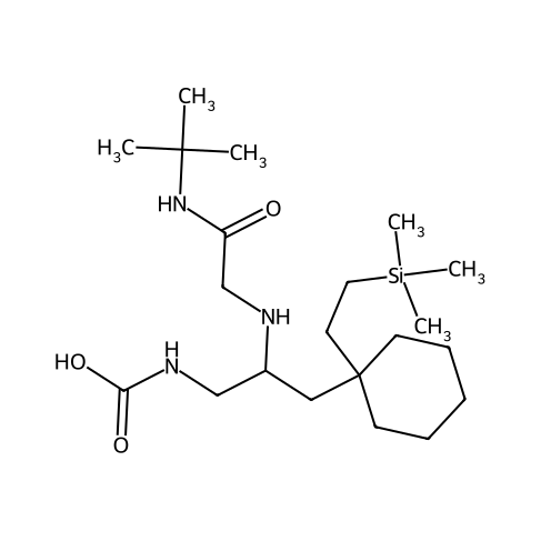 CC(C)(C)NC(=O)CNC(CNC(=O)O)CC1(CC[Si](C)(C)C)CCCCC1